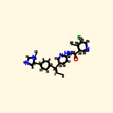 C/C=C(/c1ccc(-c2cncn2C)cc1)c1ccc(NC(=O)c2cncc(F)c2C)nc1